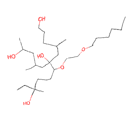 CCCCCCOCCOC(CCC(C)(O)CC)C(O)(CC(C)CCCO)CC(C)CC(C)O